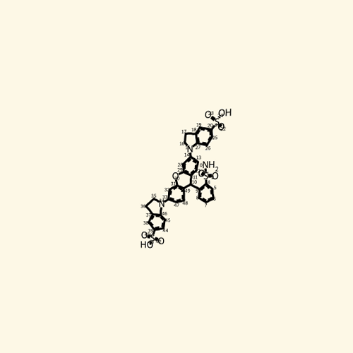 NS(=O)(=O)c1ccccc1C1c2ccc(N3CCc4cc(S(=O)(=O)O)ccc43)cc2Oc2cc(N3CCc4cc(S(=O)(=O)O)ccc43)ccc21